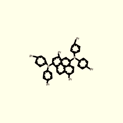 CC(C)c1ccc(N(c2ccc(C(C)C)cc2)c2cc3c(C(C)C)cc(N(c4ccc(C(C)C)cc4)c4ccc(C(C)C)cc4)c4ccc5c(C(C)C)ccc2c5c34)cc1